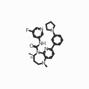 C[C@@H]1CCN(C)c2ccc(-c3cccc(N4CCCC4)c3)nc2N1C(=O)Nc1cncc(F)c1